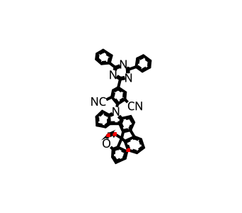 N#Cc1cc(-c2nc(-c3ccccc3)nc(-c3ccccc3)n2)cc(C#N)c1-n1c2ccccc2c2c3c(ccc21)-c1ccccc1C31c2ccccc2Oc2ccccc21